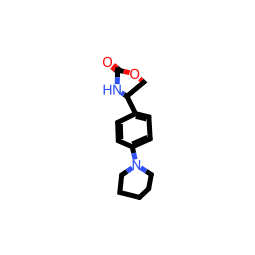 O=C1NC(c2ccc(N3CCCCC3)cc2)CO1